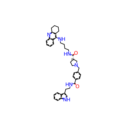 O=C(NCCc1c[nH]c2ccccc12)c1ccc(CN2CC[C@H](C(=O)NCCCCNc3c4c(nc5ccccc35)CCCC4)C2)cc1